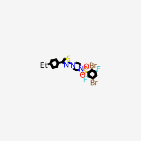 CCc1ccc(-c2csc(N3CCN(S(=O)(=O)c4c(F)c(Br)cc(F)c4Br)CC3)n2)cc1